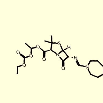 CCOC(=O)OC(C)OC(=O)[C@@H]1N2C(=O)[C@@H](/N=C/N3CCCCCC3)[C@H]2SC1(C)C